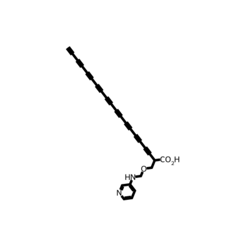 C#CC#CC#CC#CC#CC#CC#CC#CC#CC(COCNc1cccnc1)C(=O)O